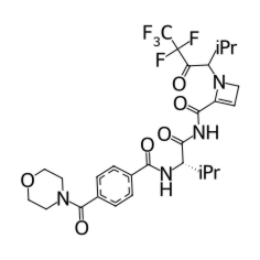 CC(C)C(C(=O)C(F)(F)C(F)(F)F)N1CC=C1C(=O)NC(=O)[C@@H](NC(=O)c1ccc(C(=O)N2CCOCC2)cc1)C(C)C